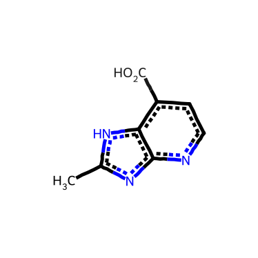 Cc1nc2nccc(C(=O)O)c2[nH]1